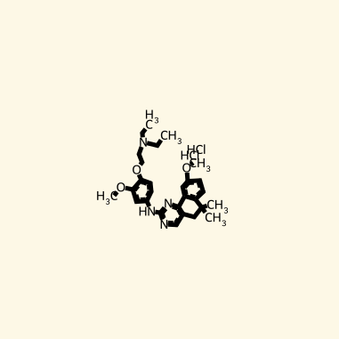 CCN(CC)CCOc1ccc(Nc2ncc3c(n2)-c2cc(OC)ccc2C(C)(C)C3)cc1OC.Cl.Cl